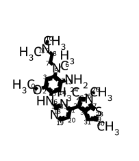 COc1cc(N(C)CCN(C)C)c(N)cc1Nc1nccc(-c2c(C)n(C)c3sc(C)cc23)n1